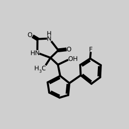 CC1(C(O)c2ccccc2-c2cccc(F)c2)NC(=O)NC1=O